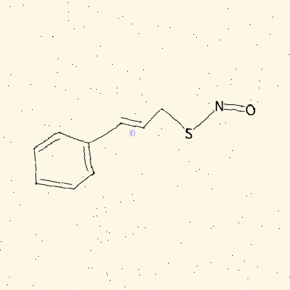 O=NSC/C=C/c1ccccc1